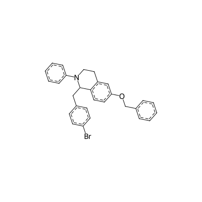 Brc1ccc(CC2c3ccc(OCc4ccccc4)cc3CCN2c2ccccc2)cc1